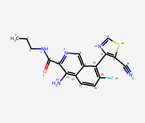 CCCNC(=O)c1ncc2c(-c3ncsc3C#N)c(F)ccc2c1N